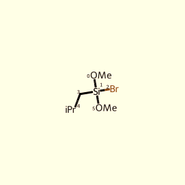 CO[Si](Br)(CC(C)C)OC